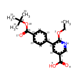 CCOc1ncc(C(=O)O)cc1-c1ccc(C(=O)OC(C)(C)C)cc1